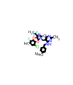 COc1ccc(CNc2nc(C)nc(OC)c2Cn2cnc(C(C)(F)F)c(Oc3cc(Cl)cc(C#N)c3F)c2=O)cc1